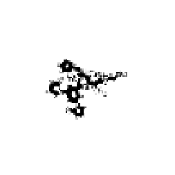 C[C@H](C[C@H](O)[C@H](Cc1ccccc1)NC(=O)c1cc(N2CCCC2=O)cc(N2CCCC2=O)c1)C(=O)NCCC(C)(C)C